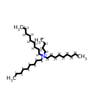 CCCCCCCCC[N+](CCCC)(CCCCCCCCC)CCCCCCCCC